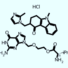 CC(C)[C@H](N)C(=O)OCCOCn1cnc2c(=O)[nH]c(N)nc21.Cc1nccn1CC1CCc2c(c3ccccc3n2C)C1=O.Cl